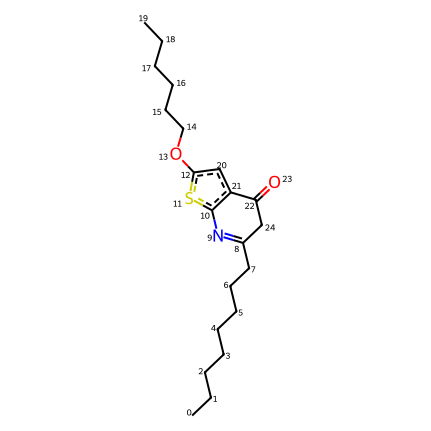 CCCCCCCCC1=Nc2sc(OCCCCCC)cc2C(=O)C1